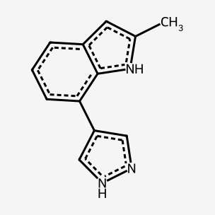 Cc1cc2cccc(-c3cn[nH]c3)c2[nH]1